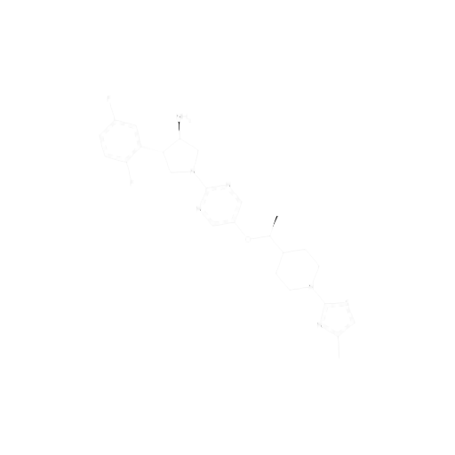 Cc1csc(N2CCC([C@H](C)Oc3cnc(N4C[C@H](c5cc(F)ccc5F)[C@@H](N)C4)nc3)CC2)n1